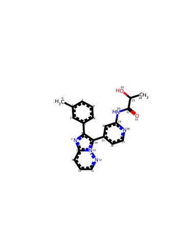 Cc1cccc(-c2nc3cccnn3c2-c2ccnc(NC(=O)C(C)O)c2)c1